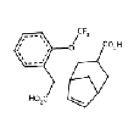 O=C(O)C1CC2C=CC(C2)C1.O=C(O)Cc1ccccc1OC(F)(F)F